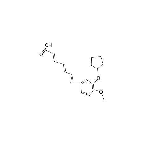 COc1ccc(C=CC=CC=CC(=O)O)cc1OC1CCCC1